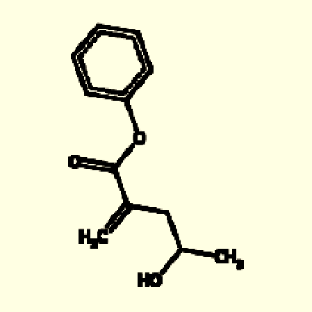 C=C(CC(C)O)C(=O)Oc1ccccc1